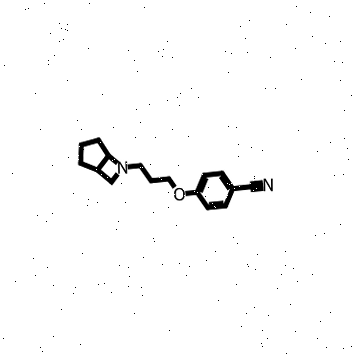 N#Cc1ccc(OCCCN2CC3CCCC32)cc1